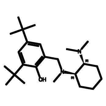 CN(C)[C@@H]1CCCC[C@H]1N(C)Cc1cc(C(C)(C)C)cc(C(C)(C)C)c1O